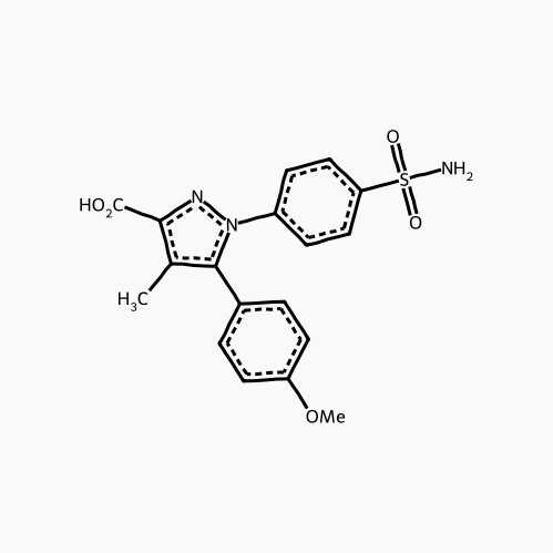 COc1ccc(-c2c(C)c(C(=O)O)nn2-c2ccc(S(N)(=O)=O)cc2)cc1